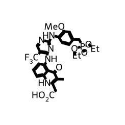 CCOP(=O)(Cc1ccc(Nc2ncc(C(F)(F)F)c(Nc3cccc4[nH]c(CC(=O)O)c(C)c(=O)c34)n2)c(OC)c1)OCC